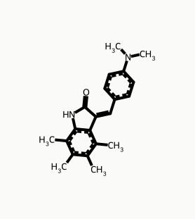 Cc1c(C)c(C)c2c(c1C)NC(=O)/C2=C\c1ccc(N(C)C)cc1